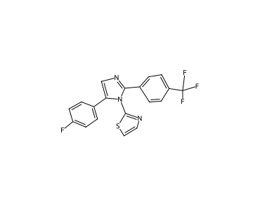 Fc1ccc(-c2cnc(-c3ccc(C(F)(F)F)cc3)n2-c2nccs2)cc1